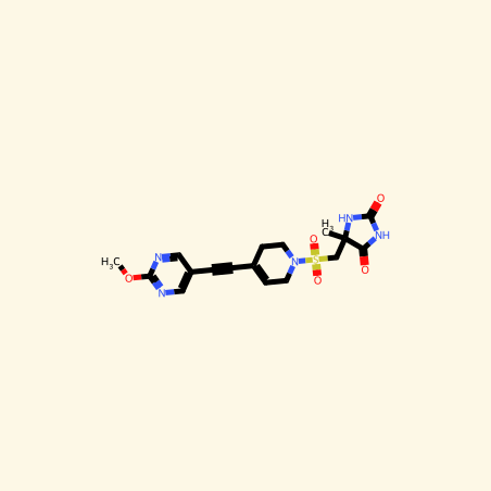 COc1ncc(C#CC2=CCN(S(=O)(=O)CC3(C)NC(=O)NC3=O)CC2)cn1